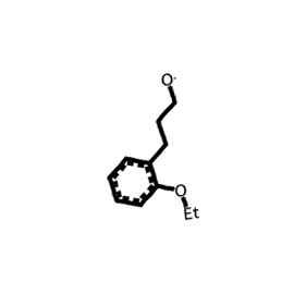 CCOc1ccccc1CCC[O]